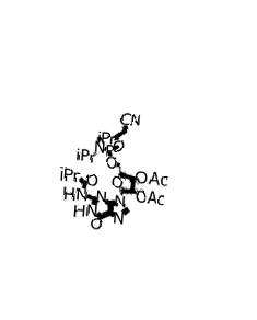 CC(=O)O[C@@H]1[C@H](OC(C)=O)[C@@H](COP(OCCC#N)N(C(C)C)C(C)C)O[C@H]1n1cnc2c(=O)[nH]c(NC(=O)C(C)C)nc21